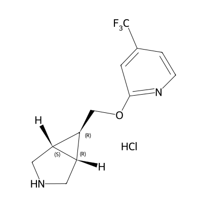 Cl.FC(F)(F)c1ccnc(OC[C@H]2[C@@H]3CNC[C@@H]32)c1